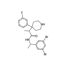 CC(NC(=O)C(C)C1(c2cccc(F)c2)CCNCC1)c1cc(Br)cc(Br)c1